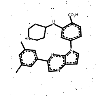 Cc1cc(C)cc(-c2cnc3ccn(-c4ccc(C(=O)O)c(NC5CCNCC5)c4)c3n2)c1